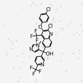 Cn1cncc1C(O)(c1ccc(C(F)(F)F)nc1)c1ccc2nc(Cl)c(Oc3ccc(Cl)cc3)c(C(F)(F)F)c2c1